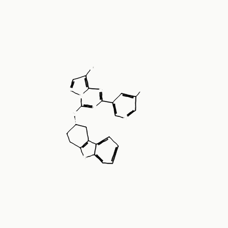 Fc1cncc(-c2nc(N[C@@H]3CCc4[nH]c5ccccc5c4C3)n3ncc(Br)c3n2)c1